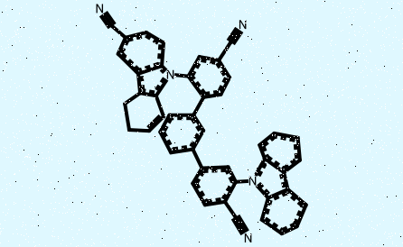 N#Cc1ccc(-c2cccc(-c3ccc(C#N)c(-n4c5ccccc5c5ccccc54)c3)c2)c(-n2c3c(c4cc(C#N)ccc42)CCC=C3)c1